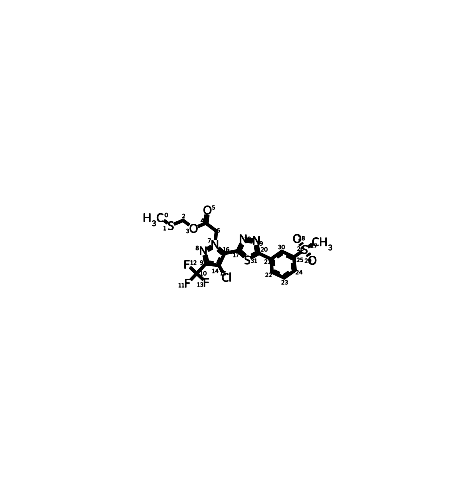 CSCOC(=O)Cn1nc(C(F)(F)F)c(Cl)c1-c1nnc(-c2cccc(S(C)(=O)=O)c2)s1